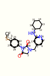 O=C1CN(Cc2ccnc(NC3CCCCC3)c2)C(=O)N1c1ccc(SC(F)(F)F)cc1